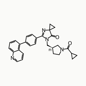 O=C(C1CC1)N1CC[C@@H](CN2C(=O)C3(CC3)N=C2c2ccc(-c3cccc4ncccc34)cc2)C1